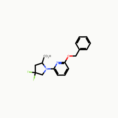 O=C(O)C1CC(F)(F)CN1c1cccc(OCc2ccccc2)n1